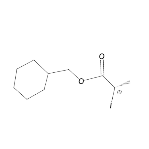 C[C@H](I)C(=O)OCC1CCCCC1